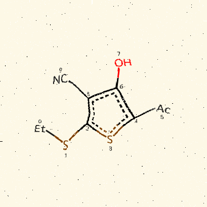 CCSc1sc(C(C)=O)c(O)c1C#N